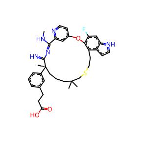 CN/C1=N\C(=N)[C@@](C)(c2cccc(CCC(=O)O)c2)CCCC(C)(C)CSCCc2c(c(F)cc3[nH]ccc23)Oc2ccnc1c2